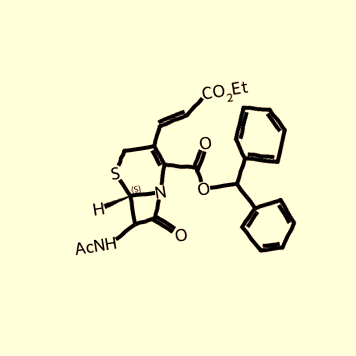 CCOC(=O)C=CC1=C(C(=O)OC(c2ccccc2)c2ccccc2)N2C(=O)C(NC(C)=O)[C@@H]2SC1